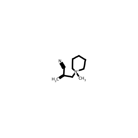 C=C(C#N)C[N+]1(C)CCCCC1